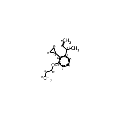 C=C[C](C)c1cccc(OCCC)c1C1CC1